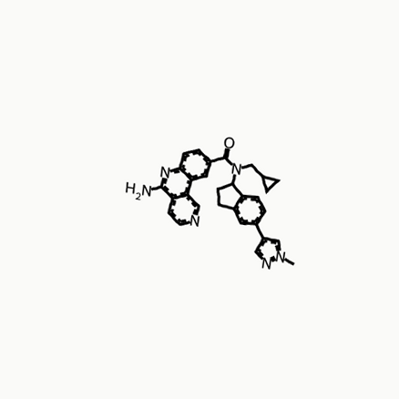 Cn1cc(-c2ccc3c(c2)CCC3N(CC2CC2)C(=O)c2ccc3nc(N)c4ccncc4c3c2)cn1